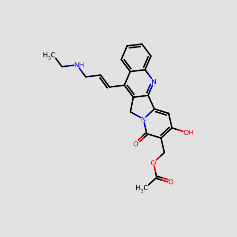 CCNC/C=C/c1c2c(nc3ccccc13)-c1cc(O)c(COC(C)=O)c(=O)n1C2